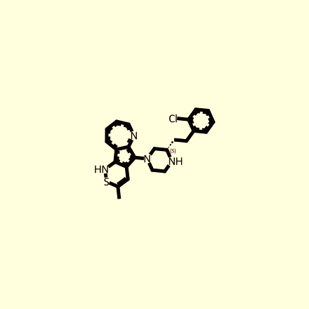 CC1=Cc2c(c3ccccnc-3c2N2CCN[C@@H](CCc3ccccc3Cl)C2)NS1